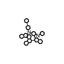 c1ccc(-c2ccc(N(c3ccc4ccccc4c3)c3ccc4c(c3)c3c(-c5cc6ccccc6c6ccccc56)cc5ccccc5c3n4-c3ccccc3)cc2)cc1